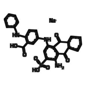 Nc1c(S(=O)(=O)O)cc(Nc2ccc(Nc3ccccc3)c(C(=O)O)c2)c2c1C(=O)c1ccccc1C2=O.[Na]